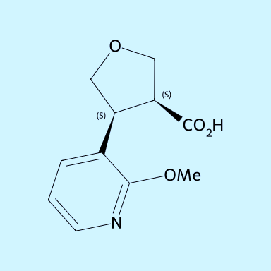 COc1ncccc1[C@H]1COC[C@H]1C(=O)O